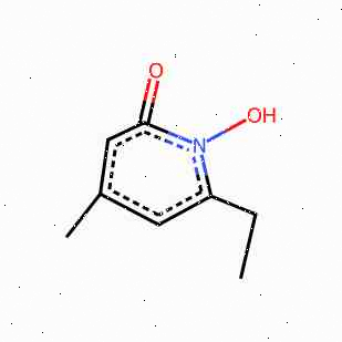 CCc1cc(C)cc(=O)n1O